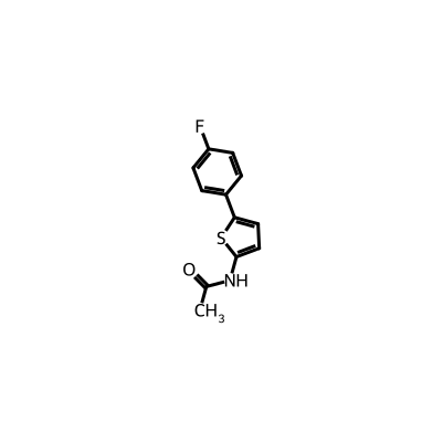 CC(=O)Nc1ccc(-c2ccc(F)cc2)s1